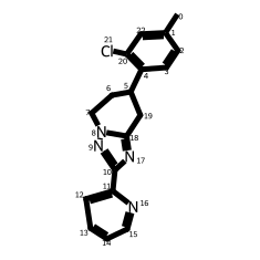 Cc1ccc(C2CCn3nc(-c4ccccn4)nc3C2)c(Cl)c1